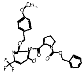 COc1ccc(COc2nc(C(F)(F)F)cc(Cl)c2NC(=O)C2CCCN2C(=O)OCc2ccccc2)cc1